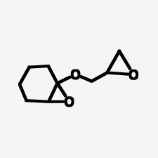 C1CCC2(OCC3CO3)OC2C1